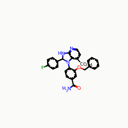 NC(=O)c1ccc(N2c3c(C(=O)O)ccnc3NC2c2ccc(F)cc2)c(OCc2ccccc2)c1